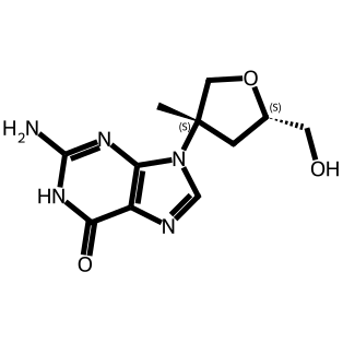 C[C@@]1(n2cnc3c(=O)[nH]c(N)nc32)CO[C@H](CO)C1